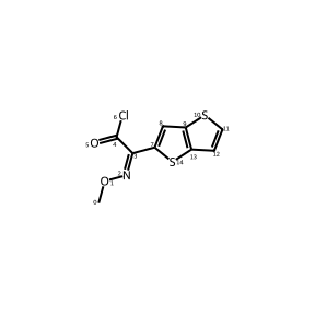 CON=C(C(=O)Cl)c1cc2sccc2s1